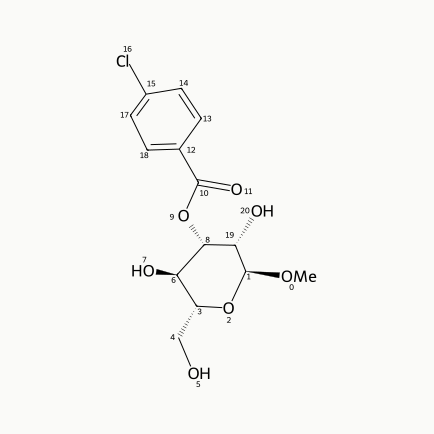 CO[C@H]1O[C@H](CO)[C@@H](O)[C@H](OC(=O)c2ccc(Cl)cc2)[C@@H]1O